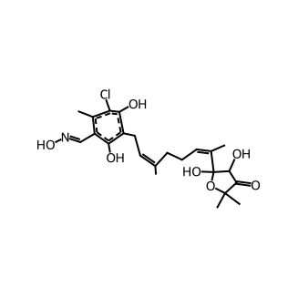 CC(=CCc1c(O)c(Cl)c(C)c(C=NO)c1O)CCC=C(C)C1(O)OC(C)(C)C(=O)C1O